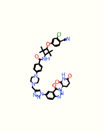 CC1(C)C(NC(=O)c2ccc(N3CCN(Cc4cn(-c5ccc6nnn(C7CCC(=O)NC7=O)c(=O)c6c5)nn4)CC3)cc2)C(C)(C)C1Oc1ccc(C#N)c(Cl)c1